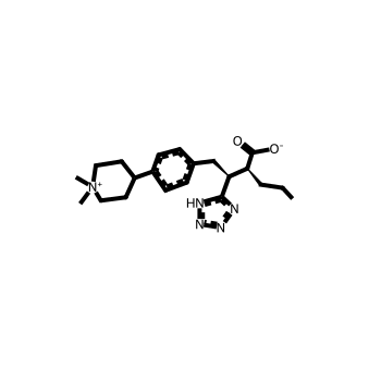 CCC[C@H](C(=O)[O-])[C@H](Cc1ccc(C2CC[N+](C)(C)CC2)cc1)c1nnn[nH]1